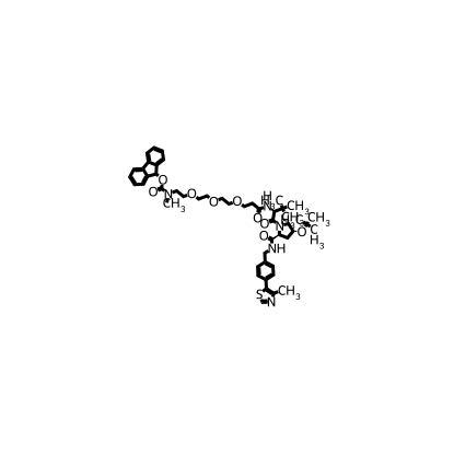 Cc1ncsc1-c1ccc(CNC(=O)[C@@H]2C[C@@H](OC(C)(C)C)CN2C(=O)[C@@H](NC(=O)CCOCCOCCOCCN(C)C(=O)OC2c3ccccc3-c3ccccc32)C(C)(C)C)cc1